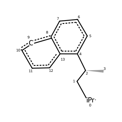 C[C](C)C[C@@H](C)c1cccc2ccccc12